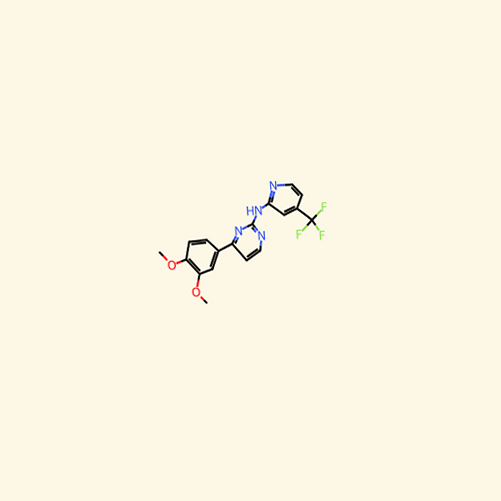 COc1ccc(-c2ccnc(Nc3cc(C(F)(F)F)ccn3)n2)cc1OC